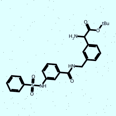 CC(C)(C)OC(=O)C(N)c1cccc(CNC(=O)c2cccc(NS(=O)(=O)c3ccccc3)c2)c1